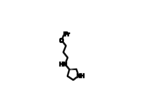 CC(C)OCCCNC1CCNC1